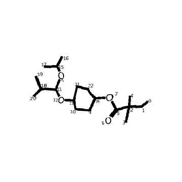 CCC(C)(C)C(=O)OC1CCC(OC(OC(C)C)C(C)C)CC1